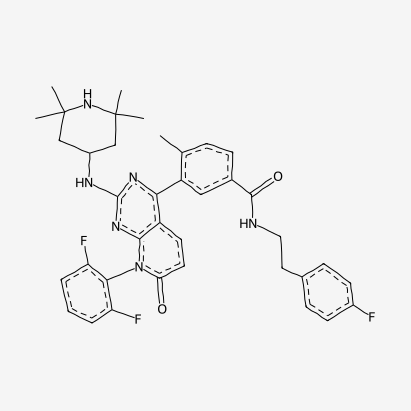 Cc1ccc(C(=O)NCCc2ccc(F)cc2)cc1-c1nc(NC2CC(C)(C)NC(C)(C)C2)nc2c1ccc(=O)n2-c1c(F)cccc1F